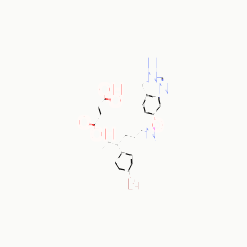 CCC(CCCN(C)Oc1ccc2c(c1)N=CNC2)c1ccc(Br)cc1.O=C(O)C=CC(=O)O